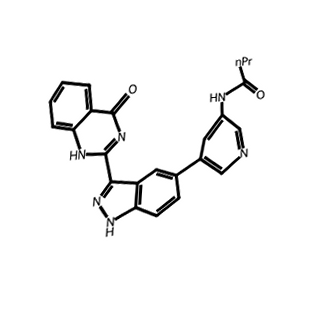 CCCC(=O)Nc1cncc(-c2ccc3[nH]nc(-c4nc(=O)c5ccccc5[nH]4)c3c2)c1